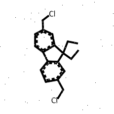 CCC1(CC)c2cc(CCl)ccc2-c2ccc(CCl)cc21